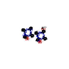 O=S(=O)([O-])c1cccc2c3nc4nc(nc5[nH]c(nc6nc(nc([nH]3)c12)-c1ccccc1-6)c1ccccc51)-c1ccccc1-4.O=S(=O)([O-])c1cccc2c3nc4nc(nc5[nH]c(nc6nc(nc([nH]3)c12)-c1ccccc1-6)c1ccccc51)-c1ccccc1-4.[OH][Al+2]